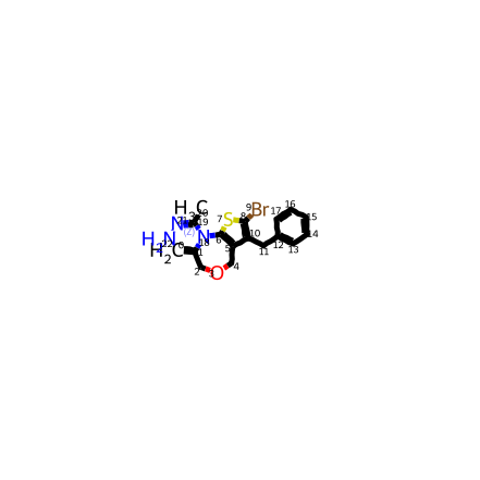 C=C1COCc2c(sc(Br)c2Cc2ccccc2)N1/C(C)=N\N